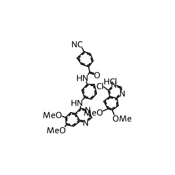 COc1cc2ncnc(Cl)c2cc1OC.COc1cc2ncnc(Nc3cccc(NC(=O)c4ccc(C#N)cc4)c3)c2cc1OC.Cl